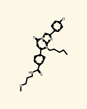 CCCCCn1c(-c2ccc(C(=O)NCCCOC)cc2)cc(=O)n2cc(-c3ccc(Cl)cc3)nc12